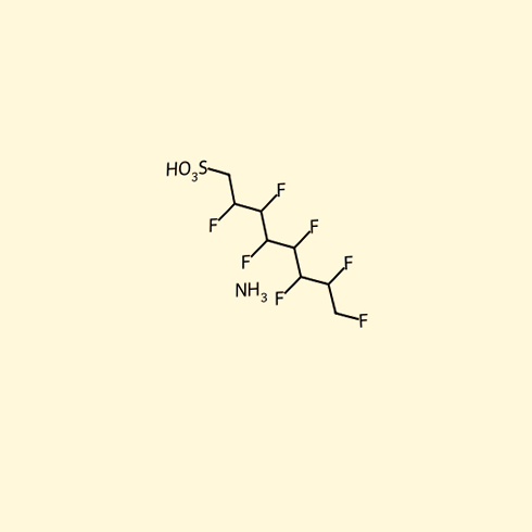 N.O=S(=O)(O)CC(F)C(F)C(F)C(F)C(F)C(F)CF